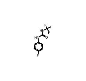 O=C(Nc1ccc(F)cc1)NC(F)(F)F